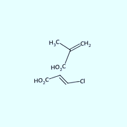 C=C(C)C(=O)O.O=C(O)C=CCl